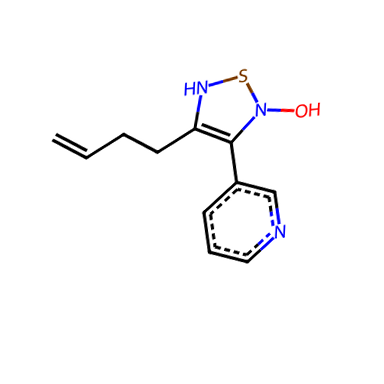 C=CCCC1=C(c2cccnc2)N(O)SN1